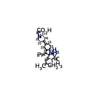 C=C(C)/C=C(\C=C(C)C)c1[nH]c2ccc(C3CCN(CC(=O)O)CC3)cc2c1C(C)C